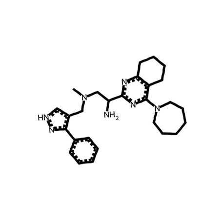 CN(Cc1c[nH]nc1-c1ccccc1)CC(N)c1nc2c(c(N3CCCCCC3)n1)CCCC2